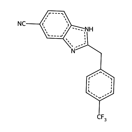 N#Cc1ccc2[nH]c(Cc3ccc(C(F)(F)F)cc3)nc2c1